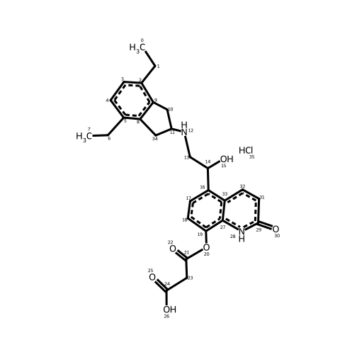 CCc1ccc(CC)c2c1CC(NCC(O)c1ccc(OC(=O)CC(=O)O)c3[nH]c(=O)ccc13)C2.Cl